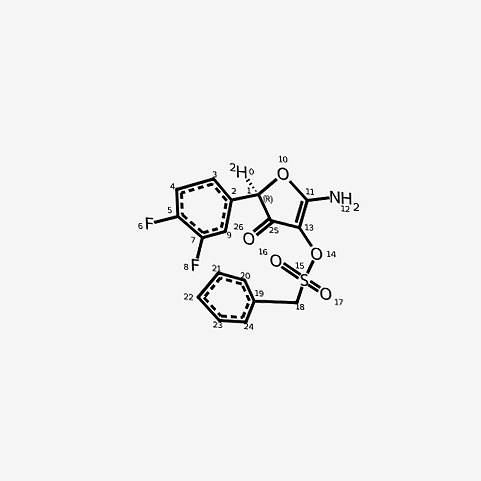 [2H][C@]1(c2ccc(F)c(F)c2)OC(N)=C(OS(=O)(=O)Cc2ccccc2)C1=O